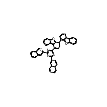 C1=CC2C=CC(c3nc(C4=CCC(c5cccc6c5oc5ccccc56)c5oc6ccccc6c54)nc(-c4ccc5ccccc5c4)n3)=CC2C=C1